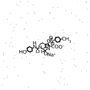 Cc1ccc(S(=O)(=O)OC2=C(C(=O)[O-])N3C(=O)[C@@H]4[C@H]3C2CCN4C(=O)Nc2ccc(O)cc2)cc1.[Na+]